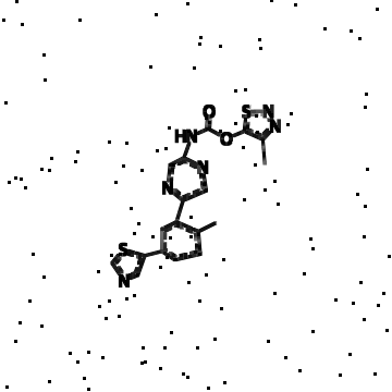 Cc1ccc(-c2cncs2)cc1-c1cnc(NC(=O)Oc2snnc2C)cn1